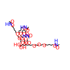 CC(=O)NOCCCCCOCCOCCOCCC(CC(CC(OCCOCCOCCCCCONC(C)=O)C(O)O)OCCOCCOCCCCCONC(C)=O)OCCOCCOCCCCCONC(C)=O